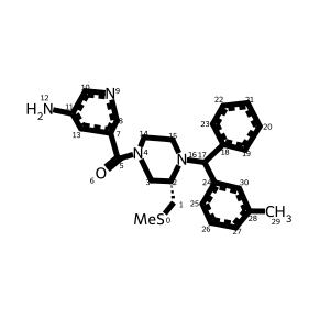 CSC[C@@H]1CN(C(=O)c2cncc(N)c2)CCN1C(c1ccccc1)c1cccc(C)c1